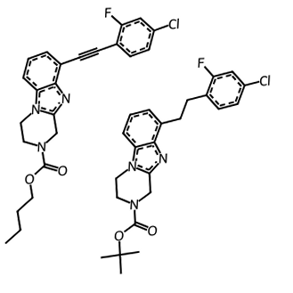 CC(C)(C)OC(=O)N1CCn2c(nc3c(CCc4ccc(Cl)cc4F)cccc32)C1.CCCCOC(=O)N1CCn2c(nc3c(C#Cc4ccc(Cl)cc4F)cccc32)C1